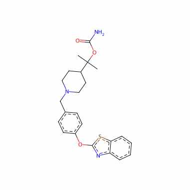 CC(C)(OC(N)=O)C1CCN(Cc2ccc(Oc3nc4ccccc4s3)cc2)CC1